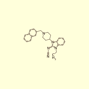 CCn1c(=NC#N)n(C2CCN(Cc3ccc4ccccc4c3)CC2)c2ccccc21